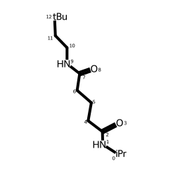 CC(C)NC(=O)CCCC(=O)NCCC(C)(C)C